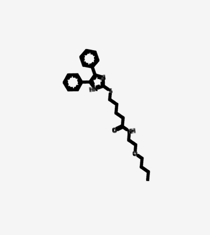 CCCCOCCNC(=O)CCCCSc1nc(-c2ccccc2)c(-c2ccccc2)[nH]1